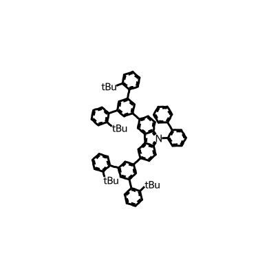 CC(C)(C)c1ccccc1-c1cc(-c2ccc3c(c2)c2cc(-c4cc(-c5ccccc5C(C)(C)C)cc(-c5ccccc5C(C)(C)C)c4)ccc2n3-c2ccccc2-c2ccccc2)cc(-c2ccccc2C(C)(C)C)c1